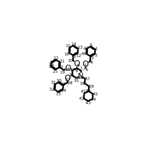 c1ccc(COC[C@H]2[C@@H](OCc3ccccc3)[C@H](OCc3ccccc3)[C@@H](OCc3ccccc3)CN2CCCC2CCCCC2)cc1